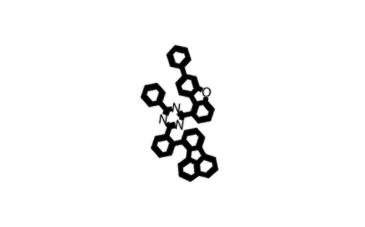 c1ccc(-c2ccc3c(c2)oc2cccc(-c4nc(-c5ccccc5)nc(-c5ccccc5-c5cccc6c5-c5cccc7cccc-6c57)n4)c23)cc1